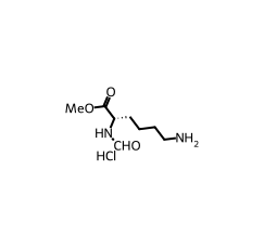 COC(=O)[C@H](CCCCN)NC=O.Cl